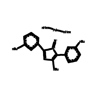 CCCCC1=C(c2cccc(CCCC)c2)[N+](=[N-])C(c2cccc(CCCC)c2)=C1.CCCCC[CH2][Pd][CH2]CCCCC